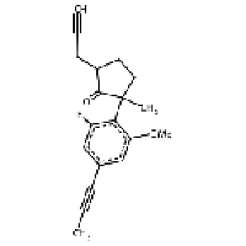 C#CCC1CCC(C)(c2c(F)cc(C#CC)cc2OC)C1=O